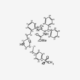 COC(=O)N[C@H](C(=O)Nc1ccccc1CC[C@@H]1CNC[C@@H](CSc2ccc(S(C)(=O)=O)cc2)O1)C(c1ccccc1)c1ccccc1